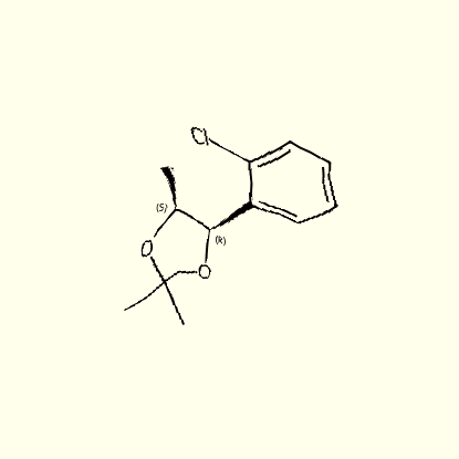 [CH2][C@@H]1OC(C)(C)O[C@@H]1c1ccccc1Cl